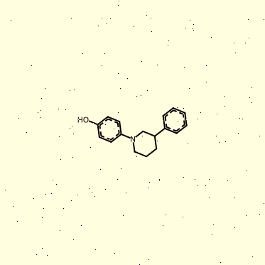 Oc1ccc(N2CCCC(c3ccccc3)C2)cc1